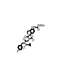 CNC(=O)Nc1ccc2c(c1)CC[C@@]21OC(=O)N(CC(=O)N(Cc2ccc(F)cc2)[C@H](C2CC2)C(F)(F)F)C1=O